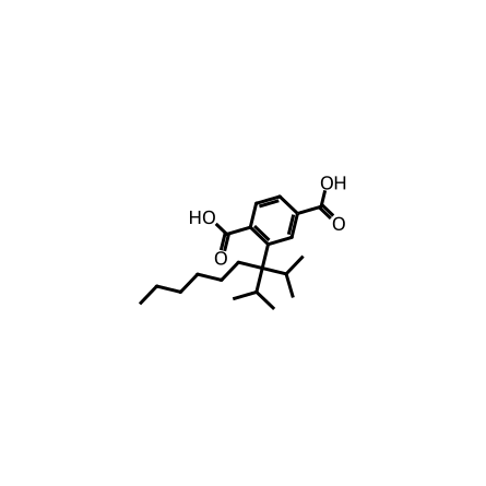 CCCCCCC(c1cc(C(=O)O)ccc1C(=O)O)(C(C)C)C(C)C